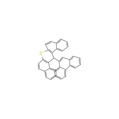 c1ccc2c3c(ccc2c1)Sc1ccc2ccccc2c1C3c1cc2ccccc2c2ccccc12